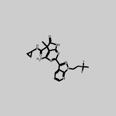 CC(F)(F)CCn1nc(-c2nc(N)c3c(n2)NC(=O)C3(C)C(=O)NC2CC2)c2cccnc21